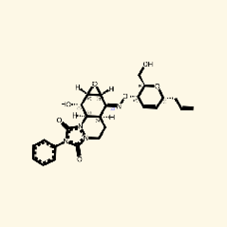 C=CC[C@@H]1C=C[C@H](O/N=C2/[C@H]3CCn4c(=O)n(-c5ccccc5)c(=O)n4[C@H]3[C@H](O)[C@@H]3O[C@H]23)[C@@H](CO)O1